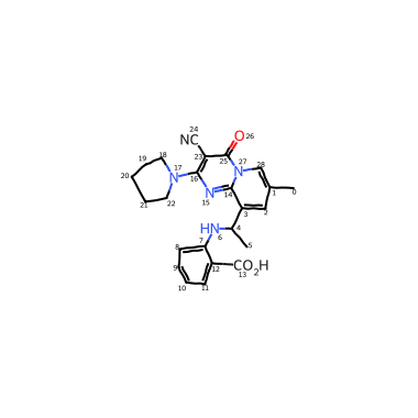 Cc1cc(C(C)Nc2ccccc2C(=O)O)c2nc(N3CCCCC3)c(C#N)c(=O)n2c1